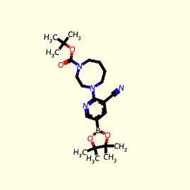 CC(C)(C)OC(=O)N1CCCCN(c2ncc(B3OC(C)(C)C(C)(C)O3)cc2C#N)CC1